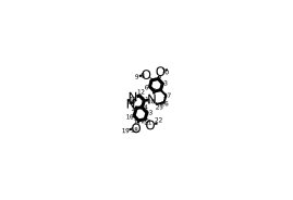 COc1cc2c(cc1OC)N(c1cnnc3cc(OC)c(OC)cc13)CCC2